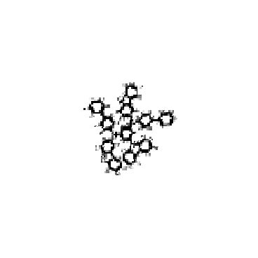 c1ccc(-c2ccc(N(c3cc(N(c4ccc(-c5ccccc5)cc4)c4ccc5oc6ccccc6c5c4)cc(-n4c5ccccc5c5ccccc54)c3)c3ccc4oc5ccccc5c4c3)cc2)cc1